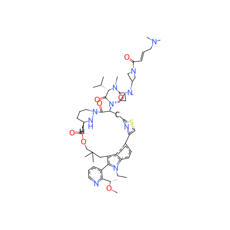 CCn1c(-c2cccnc2[C@H](C)OC)c2c3cc(ccc31)-c1csc(n1)C[C@H]([N+](C(=O)[C@H](C(C)C)N(C)C(=O)N(C)C1CN(C(=O)/C=C/CN(C)C)C1)=C1CC1)C(=O)N1CCC[C@H](N1)C(=O)OCC(C)(C)C2